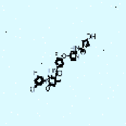 Cc1cc(=O)n(-c2cc(F)cc(Cl)c2)nc1C(=O)Nc1ccc(Oc2ccnc(NC(=O)N3CC(O)C3)c2)c(F)c1